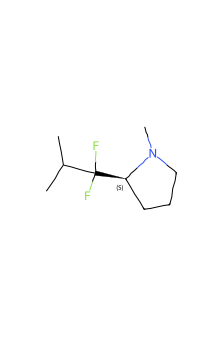 CC(C)C(F)(F)[C@@H]1CCCN1C